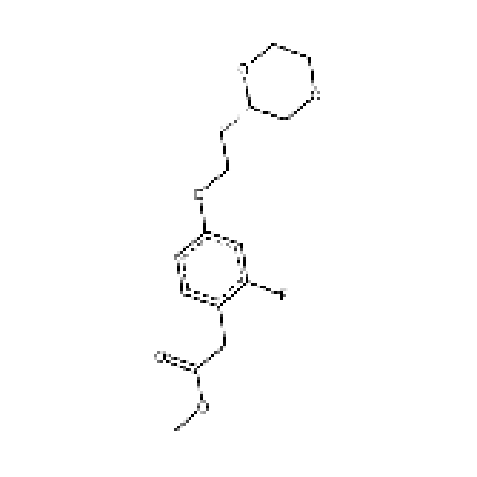 COC(=O)Cc1ccc(OCC[C@H]2COCCO2)cc1F